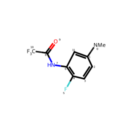 CNc1ccc(F)c(NC(=O)C(F)(F)F)c1